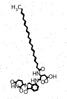 CCC=CCC=CCC=CCC=CCC=CCC=CCCC(=O)NC(CC(=O)O)C(=O)Nc1cccc2c1CN(C1CCC(=O)NC1=O)C2=O